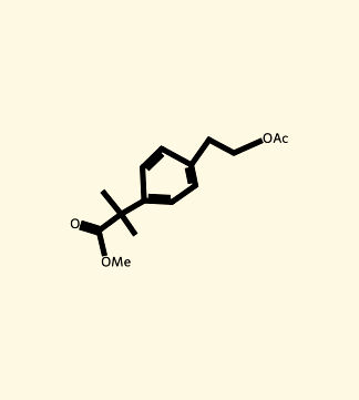 COC(=O)C(C)(C)c1ccc(CCOC(C)=O)cc1